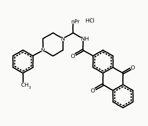 CCCC(NC(=O)c1ccc2c(c1)C(=O)c1ccccc1C2=O)N1CCN(c2cccc(C)c2)CC1.Cl